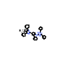 C[Si]1(C)c2ccccc2-c2nc(-c3ccc4c(c3)c3ccccc3n4-c3nc(-c4ccccc4)nc(-c4ccccc4)n3)nc(-c3ccccc3)c21